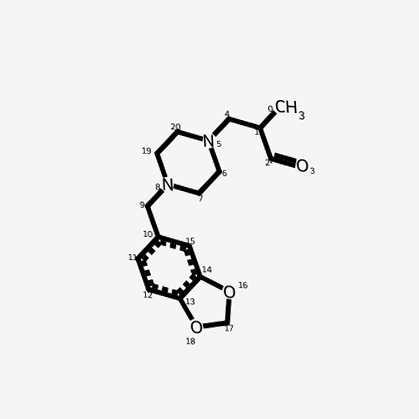 CC([C]=O)CN1CCN(Cc2ccc3c(c2)OCO3)CC1